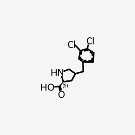 O=C(O)[C@@H]1CC(Cc2ccc(Cl)c(Cl)c2)CN1